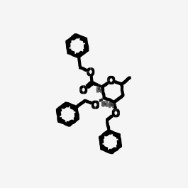 CC1C[C@@H](OCc2ccccc2)[C@H](OCc2ccccc2)[C@@H](C(=O)OCc2ccccc2)O1